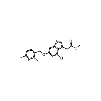 COC(=O)Cc1csc2cc(OCc3ccc(C)nc3C)cc(Cl)c12